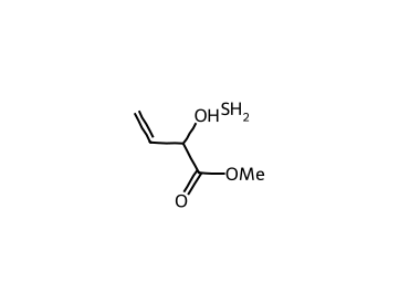 C=CC(O)C(=O)OC.S